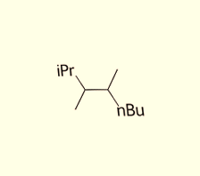 [CH2]C(C)C(C)C(C)CCCC